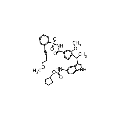 COCCC#Cc1ccccc1S(=O)(=O)NC(=O)c1ccc(C(C)c2c[nH]c3ccc(NC(=O)OC4CCCC4)cc23)c(OC)c1